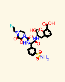 NS(=O)(=O)c1cccc(C(NC(=O)N2CCN(CCF)C(=O)C2=O)C(=O)N[C@H]2Cc3cccc(C(=O)O)c3OB2O)c1